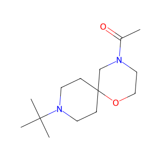 CC(=O)N1CCOC2(CCN(C(C)(C)C)CC2)C1